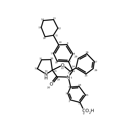 O=C(O)c1ccc(N(Cc2ccc(C3CCCCC3)cc2)C(=O)C2(OCc3ccccc3)CCCN2)cc1